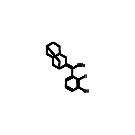 CO/C(=C1\CC2CCC3CC1CC2C3)c1cccc(O)c1Cl